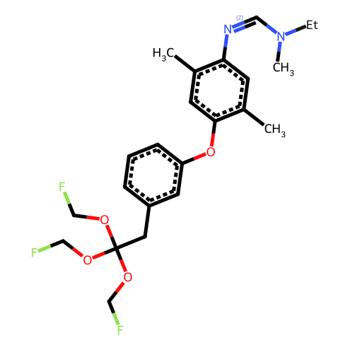 CCN(C)/C=N\c1cc(C)c(Oc2cccc(CC(OCF)(OCF)OCF)c2)cc1C